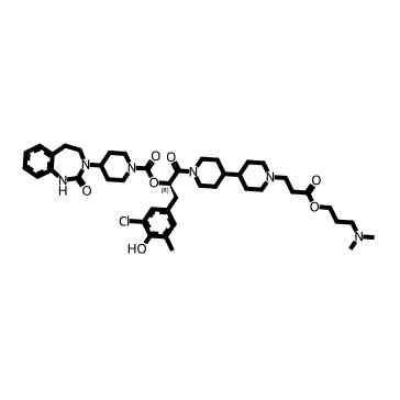 Cc1cc(C[C@@H](OC(=O)N2CCC(N3CCc4ccccc4NC3=O)CC2)C(=O)N2CCC(C3CCN(CCC(=O)OCCCN(C)C)CC3)CC2)cc(Cl)c1O